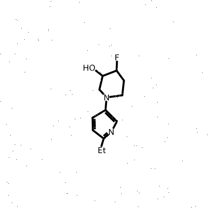 CCc1ccc(N2CCC(F)C(O)C2)cn1